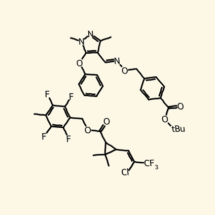 Cc1c(F)c(F)c(COC(=O)C2C(/C=C(\Cl)C(F)(F)F)C2(C)C)c(F)c1F.Cc1nn(C)c(Oc2ccccc2)c1/C=N/OCc1ccc(C(=O)OC(C)(C)C)cc1